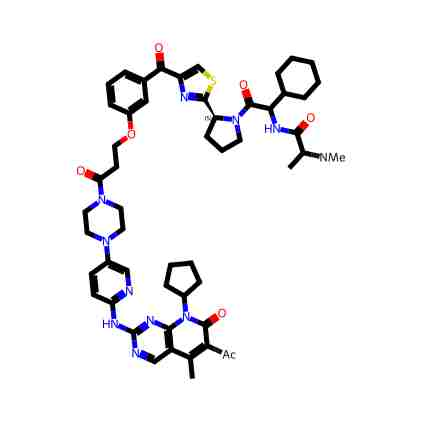 CNC(C)C(=O)NC(C(=O)N1CCC[C@H]1c1nc(C(=O)c2cccc(OCCC(=O)N3CCN(c4ccc(Nc5ncc6c(C)c(C(C)=O)c(=O)n(C7CCCC7)c6n5)nc4)CC3)c2)cs1)C1CCCCC1